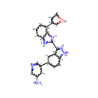 Nc1cncc(-c2ccc3[nH]nc(-c4nc5c(-c6ccoc6)cccc5[nH]4)c3c2)c1